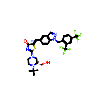 CC(C)(C)N1CCN(C2=NC(=O)/C(=C/c3ccc4c(cnn4Cc4ccc(C(F)(F)F)cc4C(F)(F)F)c3)S2)C[C@@H]1CO